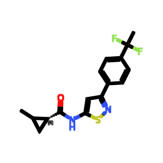 CC1C[C@H]1C(=O)Nc1cc(-c2ccc(C(C)(F)F)cc2)ns1